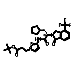 CC(C)(C)OC(=O)CCn1ccc(NC(=O)[C@H](CC2CCCC2)N2Cc3c(cccc3C(F)(F)F)C2=O)n1